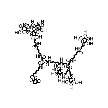 C[C@@H]1O[C@@H](OCCNC(=O)CCCCCNC(=O)CN(CC(=O)NCCCCCNC(=O)CN(CC(=O)NCCCCCC(=O)NCCO[C@H]2O[C@H](CO[C@H]3O[C@H](CO)[C@@H](O)[C@H](O)[C@@H]3O)[C@@H](O)[C@H](O[C@H]3O[C@H](CO)[C@@H](O)[C@H](O)[C@@H]3O)[C@@H]2O)CC(=O)NCCCCCC(=O)ON2C(=O)CCC2=O)CC(=O)N(CCO[C@H]2O[C@H](CO)[C@@H](O)[C@H](O)[C@@H]2O)CCO[C@H]2O[C@H](CO)[C@@H](O)[C@H](O)[C@@H]2O)[C@@H](O)[C@H](O)[C@@H]1O